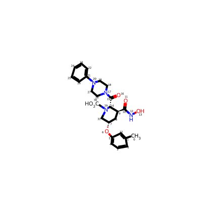 Cc1cccc(O[C@H]2C[C@H](C(=O)NO)[C@@H](C(=O)N3CCN(c4ccccc4)CC3)N(C(=O)O)C2)c1